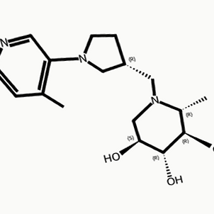 Cc1ccncc1N1CC[C@H](CN2C[C@H](O)[C@@H](O)[C@H](O)[C@H]2C)C1